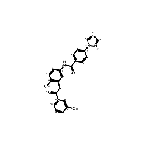 O=C([N]c1cc(NC(=O)c2ccc(-n3cncn3)cc2)ccc1Cl)c1cccc(Cl)c1